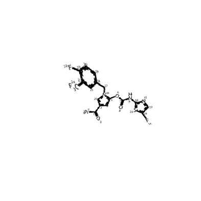 CC(C)C(=O)c1cc(OC(=O)Nc2ncc(F)s2)n(Cc2ccc(F)c(C(F)(F)F)c2)c1